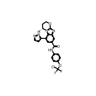 C[C@@H]1CCOc2nc3cc(C(=O)Nc4ccc(OC(F)(F)Cl)cc4)cc(-c4ccn[nH]4)c3n21